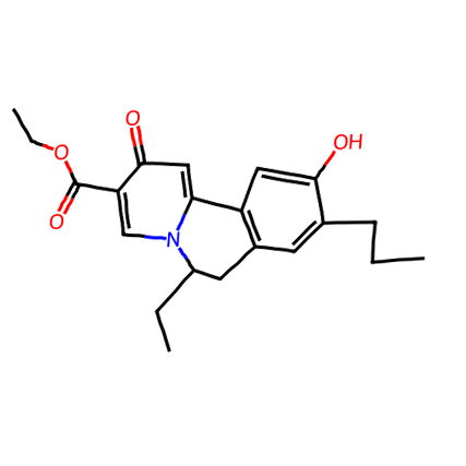 CCCc1cc2c(cc1O)-c1cc(=O)c(C(=O)OCC)cn1C(CC)C2